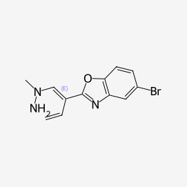 C=C/C(=C\N(C)N)c1nc2cc(Br)ccc2o1